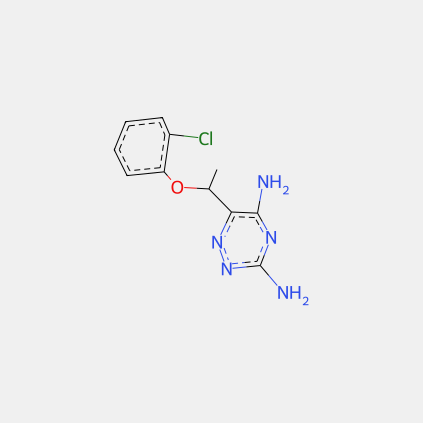 CC(Oc1ccccc1Cl)c1nnc(N)nc1N